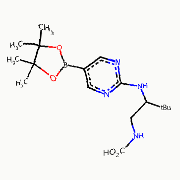 CC(C)(C)C(CNC(=O)O)Nc1ncc(B2OC(C)(C)C(C)(C)O2)cn1